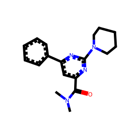 CN(C)C(=O)c1cc(-c2ccccc2)nc(N2CCCCC2)n1